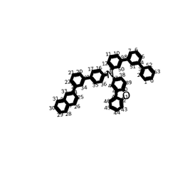 c1ccc(-c2cccc(-c3cccc(N(c4ccc(-c5cccc(-c6ccc7ccccc7c6)c5)cc4)c4ccc5oc6ccccc6c5c4)c3)c2)cc1